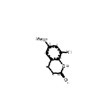 COc1cc(Cl)c2c(c1)CCC(=O)O2